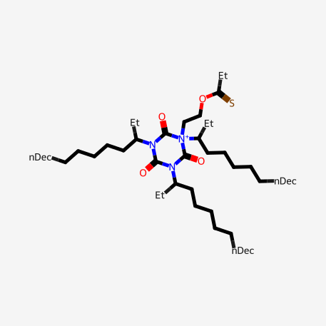 CCCCCCCCCCCCCCCC(CC)N1C(=O)N(C(CC)CCCCCCCCCCCCCCC)C(=O)[N+](CCOC(=S)CC)(C(CC)CCCCCCCCCCCCCCC)C1=O